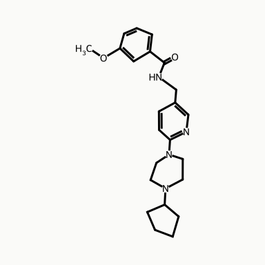 COc1cccc(C(=O)NCc2ccc(N3CCN(C4CCCC4)CC3)nc2)c1